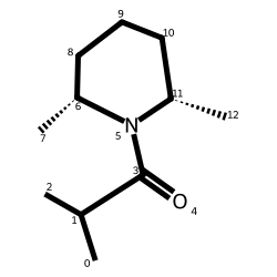 CC(C)C(=O)N1[C@H](C)CCC[C@@H]1C